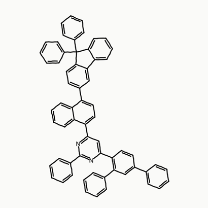 c1ccc(-c2ccc(-c3cc(-c4ccc(-c5ccc6c(c5)-c5ccccc5C6(c5ccccc5)c5ccccc5)c5ccccc45)nc(-c4ccccc4)n3)c(-c3ccccc3)c2)cc1